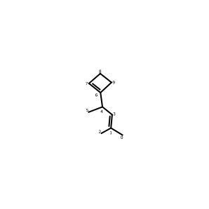 CC(C)=CC(C)C1=CCC1